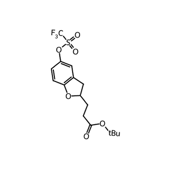 CC(C)(C)OC(=O)CCC1Cc2cc(OS(=O)(=O)C(F)(F)F)ccc2O1